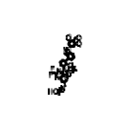 COc1cc(-n2ncc3c(-c4cccc(N(C(=O)OC(C)(C)C)c5nc(C(F)F)nc6cc(CN7CC(C)(O)C7)cnc56)c4Cl)cccc32)cc(OC)c1C=O